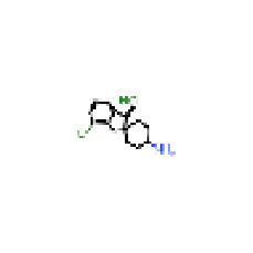 C=C1c2cccc(Cl)c2CC12CCC(N)CC2.Cl